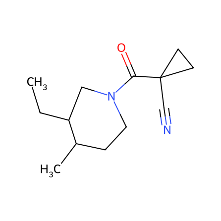 CCC1CN(C(=O)C2(C#N)CC2)CCC1C